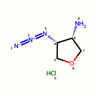 Cl.[N-]=[N+]=N[C@H]1COC[C@H]1N